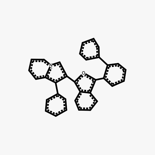 c1ccc(-c2ccccc2-c2oc(-c3cn4ccccc4c3-c3ccccc3)c3ccccc23)cc1